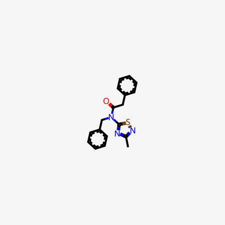 Cc1nsc(N(Cc2ccccc2)C(=O)Cc2ccccc2)n1